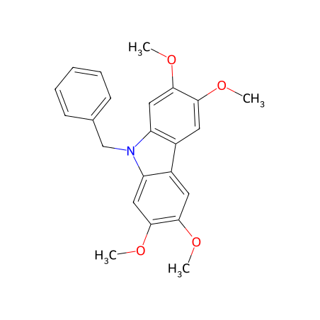 COc1cc2c3cc(OC)c(OC)cc3n(Cc3ccccc3)c2cc1OC